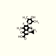 COc1c(N2CC(C)C(O)C(C)C2)c(F)c(N)c2c(=O)c(C(=O)O)cn(C3CC3)c12